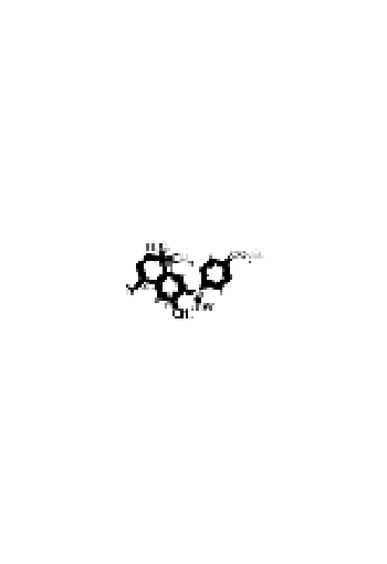 CCCN(c1ccc(C(=O)OCC)cc1)c1cc2c(cc1C)C(C(C)C)=CCC2(C)C